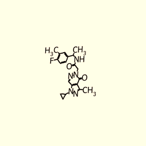 Cc1cc(C(C)NC(=O)Cn2ncc3c(c(C)nn3C3CC3)c2=O)ccc1F